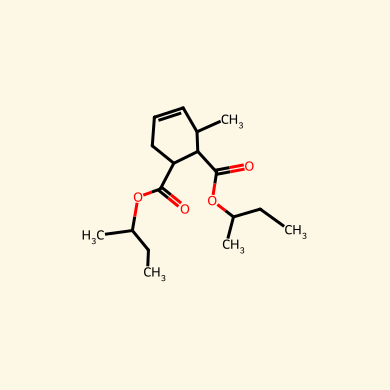 CCC(C)OC(=O)C1CC=CC(C)C1C(=O)OC(C)CC